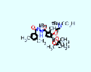 Cc1cc(C)cc(C(=O)N(NC(=O)c2ccc(B3OC(C)(C)C(C)(C)O3)c(OCCN(C(=O)O)C(C)(C)C)c2C)C(C)(C)C)c1